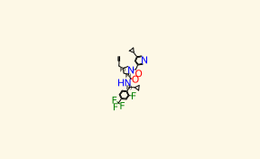 C#CC[C@@H]1C[C@H](C(=O)N[C@@H](c2ccc(C(F)(F)F)cc2F)C2CC2)N(C(=O)c2cncc(C3CC3)c2)C1